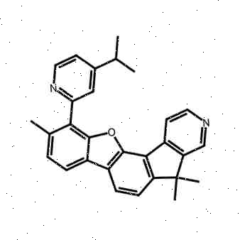 Cc1ccc2c(oc3c4c(ccc32)C(C)(C)c2cnccc2-4)c1-c1cc(C(C)C)ccn1